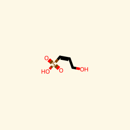 O=S(=O)(O)/C=C\CO